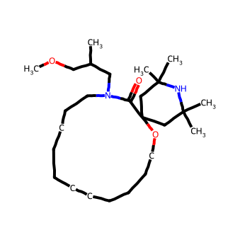 COCC(C)CN1CCCCCCCCCCCOC2(CC(C)(C)NC(C)(C)C2)C1=O